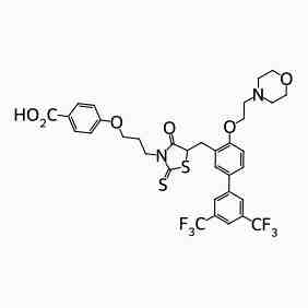 O=C(O)c1ccc(OCCCN2C(=O)C(Cc3cc(-c4cc(C(F)(F)F)cc(C(F)(F)F)c4)ccc3OCCN3CCOCC3)SC2=S)cc1